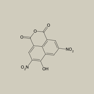 O=C1OC(=O)c2cc([N+](=O)[O-])c(O)c3cc([N+](=O)[O-])cc1c23